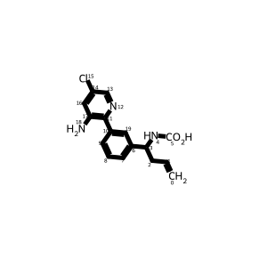 C=CCC(NC(=O)O)c1cccc(-c2ncc(Cl)cc2N)c1